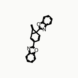 C=C1C2C=C(c3nc4ccccc4o3)C=CC12c1nc2ccccc2o1